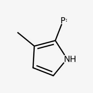 Cc1cc[nH]c1[P]